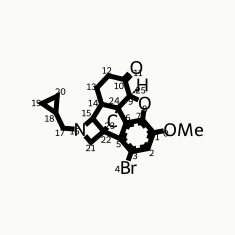 COc1cc(Br)c2c3c1O[C@@H]1C(=O)CCC4C5N(CC6CC6)CC25C[C@]341